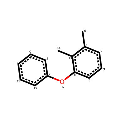 Cc1cc[c]c(Oc2ccccc2)c1C